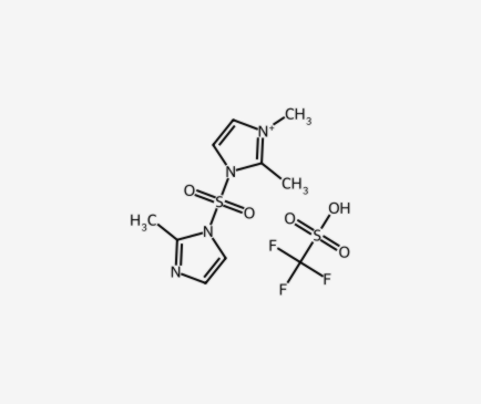 Cc1nccn1S(=O)(=O)n1cc[n+](C)c1C.O=S(=O)(O)C(F)(F)F